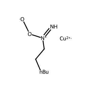 CCCCCC[N+](=N)O[O].[Cu+2]